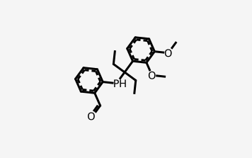 CCC(CC)(Pc1ccccc1C=O)c1cccc(OC)c1OC